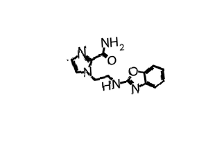 NC(=O)c1n[c]cn1CCNc1nc2ccccc2o1